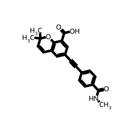 CNC(=O)c1ccc(C#Cc2cc3c(c(C(=O)O)c2)OC(C)(C)C=C3)cc1